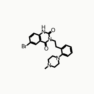 CN1CCN(c2ccccc2CCn2c(=O)[nH]c3ccc(Br)cc3c2=O)CC1